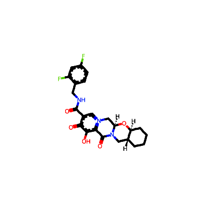 O=C(NCc1ccc(F)cc1F)c1cn2c(c(O)c1=O)C(=O)N1C[C@H]3CCCC[C@@H]3O[C@@H]1C2